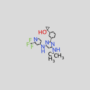 CC(C)Nc1cc(Nc2ccnc(C(F)(F)F)c2)nc(-c2cccc(C3(O)CC3)c2)n1